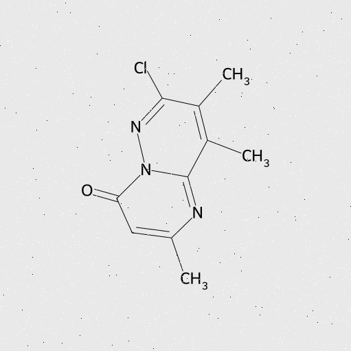 Cc1cc(=O)n2nc(Cl)c(C)c(C)c2n1